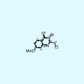 COc1ccc2c(=O)n(Br)c(CCl)nc2c1